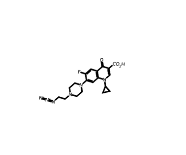 [N-]=[N+]=NCCN1CCN(c2cc3c(cc2F)c(=O)c(C(=O)O)cn3C2CC2)CC1